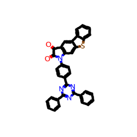 O=C1C(=O)N(c2ccc(-c3nc(-c4ccccc4)nc(-c4ccccc4)n3)cc2)c2cc3sc4ccccc4c3cc21